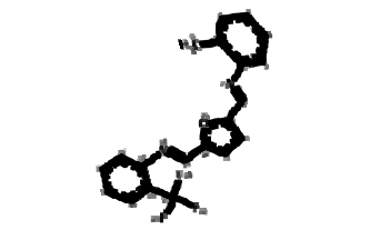 Cc1ccccc1N=Cc1ccc(C=Nc2ccccc2C(F)(F)F)o1